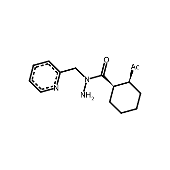 CC(=O)[C@H]1CCCC[C@H]1C(=O)N(N)Cc1ccccn1